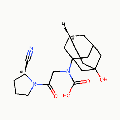 N#C[C@@H]1CCCN1C(=O)CN(C(=O)O)C12CC3C[C@H](CC(O)(C3)C1)C2